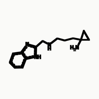 NC1(CCCNCc2nc3ccccc3[nH]2)CC1